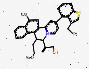 C=C(CO)C1C(CCOC)c2c(cc(C(C)(C)C)c3ccccc23)-c2cc(-c3cccc4scc(CC(C)C)c34)cc[n+]21